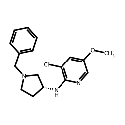 COc1cnc(N[C@@H]2CCN(Cc3ccccc3)C2)c(Cl)c1